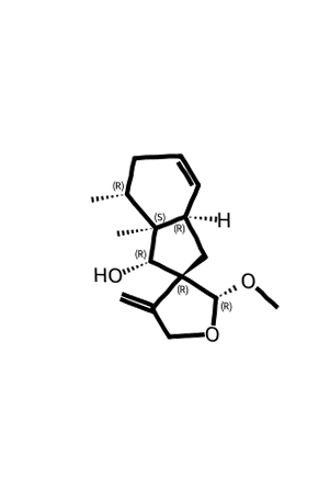 C=C1CO[C@@H](OC)[C@]12C[C@@H]1C=CC[C@@H](C)[C@]1(C)[C@H]2O